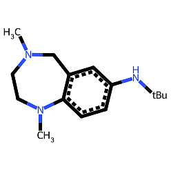 CN1CCN(C)c2ccc(NC(C)(C)C)cc2C1